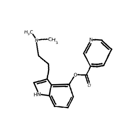 CN(C)CCc1c[nH]c2cccc(OC(=O)c3cccnc3)c12